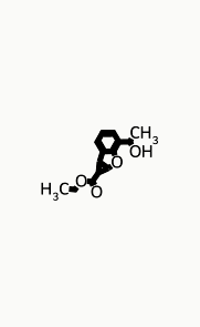 CCOC(=O)C1C2Oc3c(C(C)O)cccc3C21